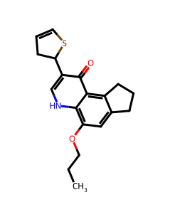 CCCOc1cc2c(c3c(=O)c(C4CC=CS4)c[nH]c13)CCC2